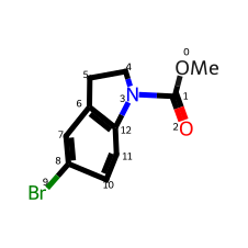 COC(=O)N1CCc2cc(Br)ccc21